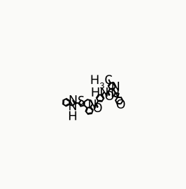 Cc1cnc(N2CC3(CCOCC3)C2)c(C(=O)Nc2ccc(C(=O)N3CCc4sc(-c5nc6ccccc6[nH]5)cc4-c4ccccc43)cc2)c1